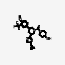 Cc1ccc(C2CC(c3nc(C4CC4)co3)CN(C(=O)N3CCC(O)CC3)C2)cc1C(F)(F)F